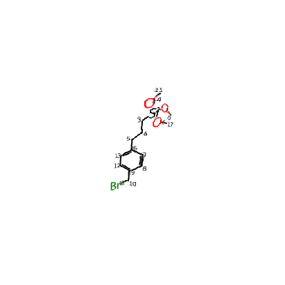 CO[Si](CCCc1ccc(CBr)cc1)(OC)OC